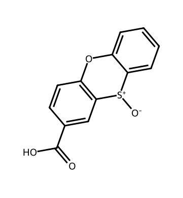 O=C(O)c1ccc2c(c1)[S+]([O-])c1ccccc1O2